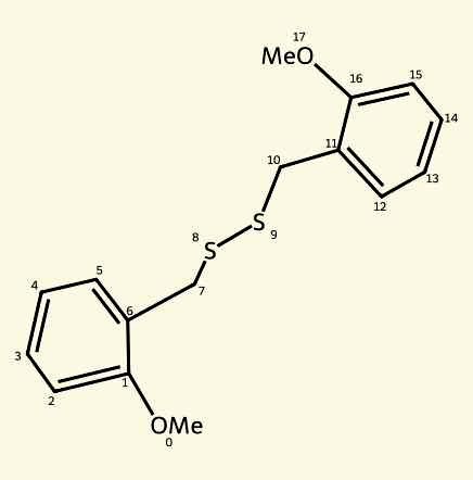 COc1ccccc1CSSCc1ccccc1OC